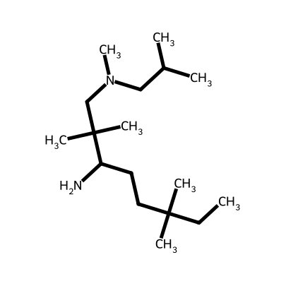 CCC(C)(C)CCC(N)C(C)(C)CN(C)CC(C)C